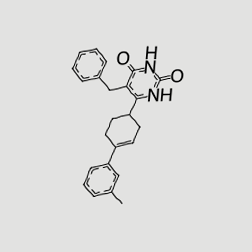 Cc1cccc(C2=CCC(c3[nH]c(=O)[nH]c(=O)c3Cc3ccccc3)CC2)c1